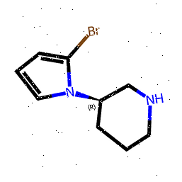 Brc1cccn1[C@@H]1CCCNC1